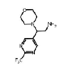 NCC(c1cnc(C(F)(F)F)nc1)N1CCOCC1